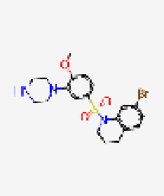 COc1ccc(S(=O)(=O)N2CCCc3ccc(Br)cc32)cc1N1CCNCC1